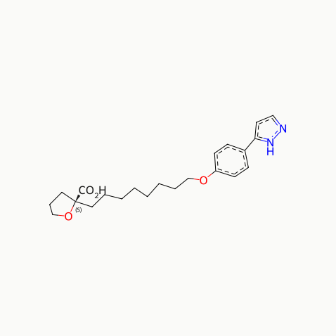 O=C(O)[C@]1(CCCCCCCCOc2ccc(-c3ccn[nH]3)cc2)CCCO1